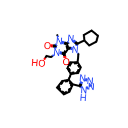 Cn1c(=O)n(CCO)c(=O)c2c1nc(C1CCCCC1)n2Cc1ccc(-c2ccccc2-c2nnn[nH]2)cc1